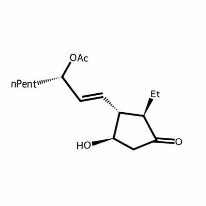 CCCCC[C@@H](/C=C/[C@H]1[C@H](O)CC(=O)[C@@H]1CC)OC(C)=O